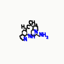 CC(C)c1cccnc1CC(CCCN)NC1CCCc2cccnc21